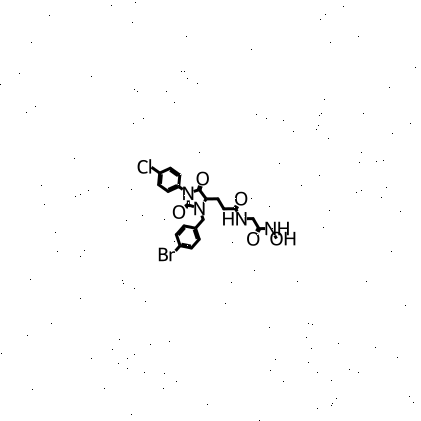 O=C(CNC(=O)CCC1C(=O)N(c2ccc(Cl)cc2)C(=O)N1Cc1ccc(Br)cc1)NO